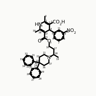 CC1=C(C(=O)O)C(c2cccc([N+](=O)[O-])c2)C(C(=O)OCCC(C)N2CCC(c3ccccc3)(c3ccccc3)CC2)=C(C)N1